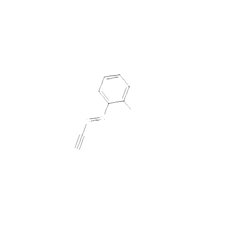 C#CN=Nc1ccccc1C(=O)OCC